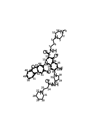 CN1CCN(CCCNC(=O)c2cn3c4c(c(N5CC[C@@H](NC(=O)CCN6CCCCC6)C5)c(F)cc4c2=O)Oc2cc4c(cc2-3)oc2ccccc24)CC1